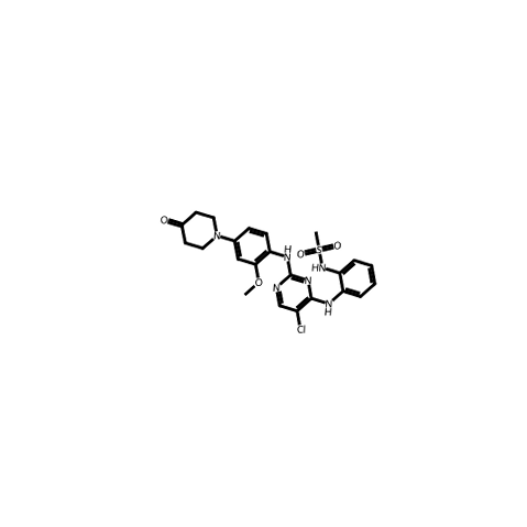 COc1cc(N2CCC(=O)CC2)ccc1Nc1ncc(Cl)c(Nc2ccccc2NS(C)(=O)=O)n1